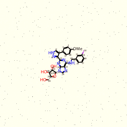 COc1ccc(-c2c[nH]nc2-c2nc(NCc3cccc(I)c3)c3ncn([C@@H]4O[C@H](CO)[C@@H](O)[C@H]4O)c3n2)cc1